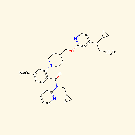 CCOC(=O)CC(c1ccnc(OCC2CCN(c3cc(OC)ccc3C(=O)N(CC3CC3)c3ccccn3)CC2)c1)C1CC1